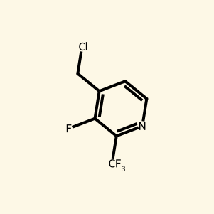 Fc1c(CCl)ccnc1C(F)(F)F